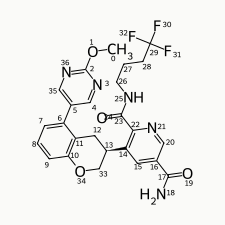 COc1ncc(-c2cccc3c2C[C@@H](c2cc(C(N)=O)cnc2C(=O)NCCCC(F)(F)F)CO3)cn1